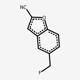 N#Cc1cc2cc(CF)ccc2o1